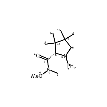 CON(C)C(=O)[C@H]1N(P)CC(C)(C)C1(C)C